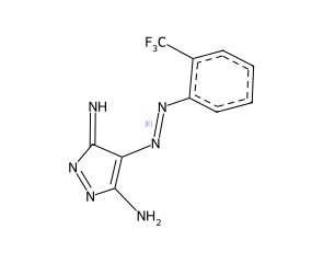 N=C1N=NC(N)=C1/N=N/c1ccccc1C(F)(F)F